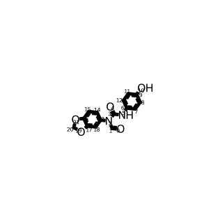 O=CN(C(=O)Nc1ccc(O)cc1)c1ccc2c(c1)OCO2